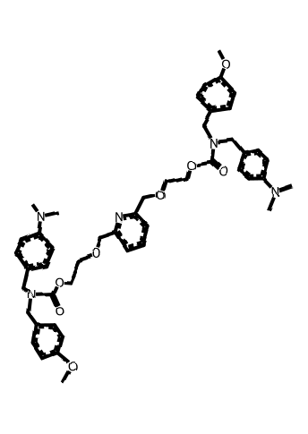 COc1ccc(CN(Cc2ccc(N(C)C)cc2)C(=O)OCCOCc2cccc(COCCOC(=O)N(Cc3ccc(OC)cc3)Cc3ccc(N(C)C)cc3)n2)cc1